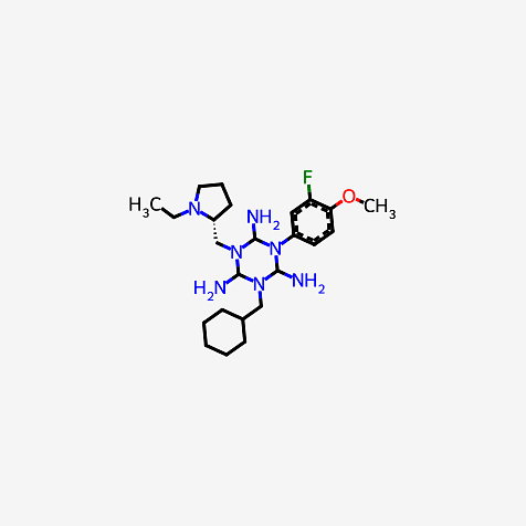 CCN1CCC[C@@H]1CN1C(N)N(CC2CCCCC2)C(N)N(c2ccc(OC)c(F)c2)C1N